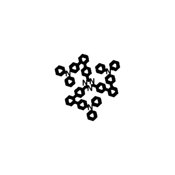 c1ccc(N(c2ccccc2)c2ccc(-c3ccccc3-c3ccc(-c4nc(-c5ccc(-c6ccccc6-c6ccc(N(c7ccccc7)c7ccccc7)cc6)cc5)nc(-c5ccc(-c6ccccc6-c6ccc(N(c7ccccc7)c7ccccc7)cc6)cc5)n4)cc3)cc2)cc1